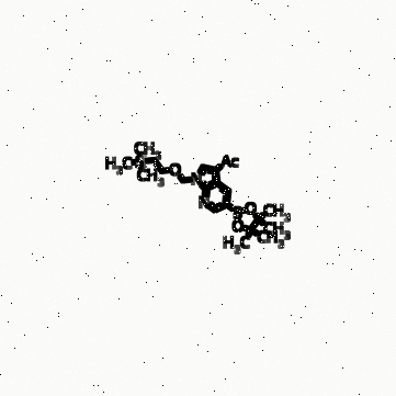 CC(=O)c1cn(COCC[Si](C)(C)C)c2ncc(B3OC(C)(C)C(C)(C)O3)cc12